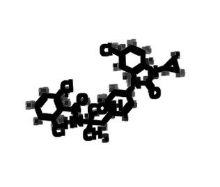 CC(Cc1ccc(-n2c(=O)n(C3CC3)c3ccc(Cl)cc32)cc1)(NC(=O)c1c(Cl)cccc1Cl)C(=O)O